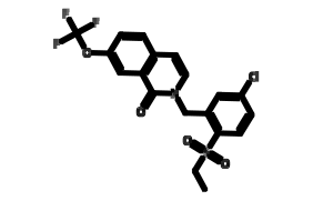 CCS(=O)(=O)c1ccc(Cl)cc1Cn1ccc2ccc(OC(F)(F)F)cc2c1=O